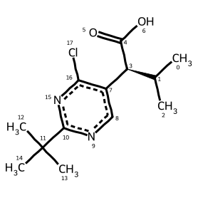 CC(C)[C@H](C(=O)O)c1cnc(C(C)(C)C)nc1Cl